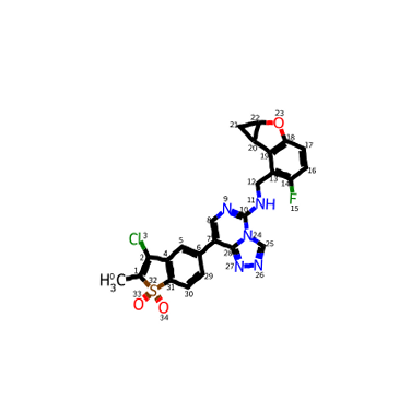 CC1=C(Cl)c2cc(-c3cnc(NCc4c(F)ccc5c4C4CC4O5)n4cnnc34)ccc2S1(=O)=O